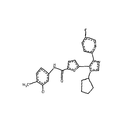 Cc1ccc(NC(=O)c2ccc(-c3c(-c4ccc(F)cc4)ncn3C3CCCC3)o2)cc1Cl